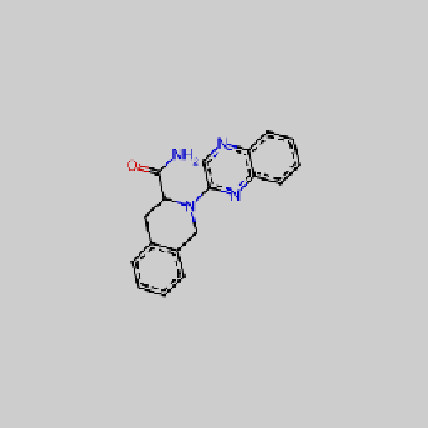 NC(=O)C1Cc2ccccc2CN1c1cnc2ccccc2n1